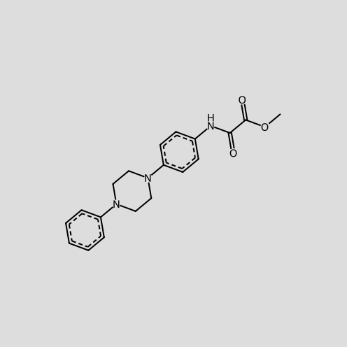 COC(=O)C(=O)Nc1ccc(N2CCN(c3ccccc3)CC2)cc1